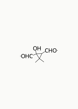 CC1(C)C([C]=O)C1(O)[C]=O